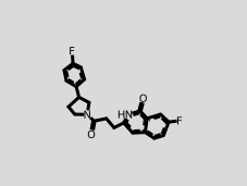 O=C(CCc1cc2ccc(F)cc2c(=O)[nH]1)N1CCC(c2ccc(F)cc2)C1